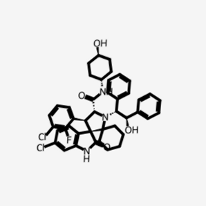 O=C(N[C@H]1CC[C@H](O)CC1)[C@H]1[C@H](c2cccc(Cl)c2F)[C@@]2(C(=O)Nc3cc(Cl)ccc32)C2(CCCCC2)N1[C@H](c1ccccc1)[C@H](O)c1ccccc1